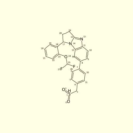 O=[SH](=O)Cc1ccc(-c2ccc3nc4n(c3c2)C(c2ccccc2OC(F)F)CC4)cc1